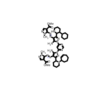 COC(=O)c1cnn(C)c1/N=N/c1c(C2NCCCC2C2CCCCC2)nn(-c2cc(-n3nc(C4CCCCN4C4C=CCCCC4)c(/N=N/c4c(C(=O)OC)cnn4C)c3N)ncn2)c1N